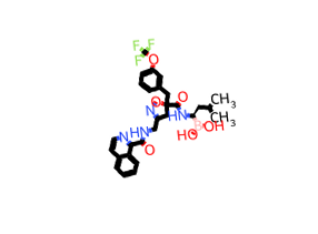 CC(C)C[C@H](NC(=O)C1(Cc2cccc(OC(F)(F)F)c2)CC(CNC(=O)c2nccc3ccccc23)=NO1)B(O)O